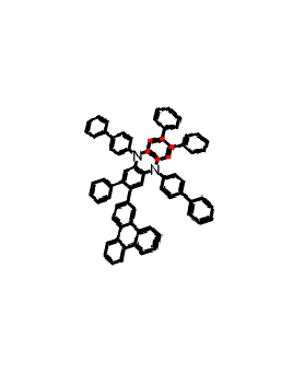 c1ccc(-c2ccc(N(c3ccc(-c4ccccc4)cc3)c3cc(-c4ccccc4)c(-c4ccc5c6ccccc6c6ccccc6c5c4)cc3N(c3ccc(-c4ccccc4)cc3)c3ccc(-c4ccccc4)cc3)cc2)cc1